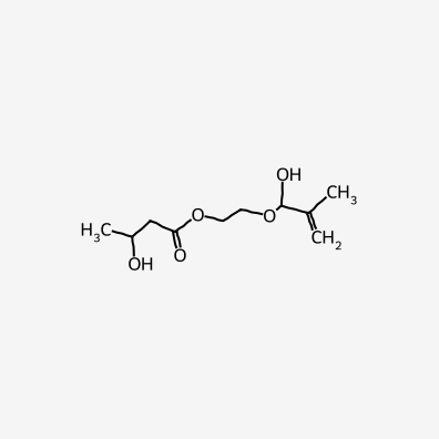 C=C(C)C(O)OCCOC(=O)CC(C)O